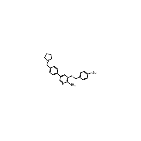 CC(C)(C)c1ccc(COc2cc(-c3ccc([CH]N4CCCC4)cc3)cnc2N)cc1